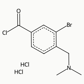 CN(C)Cc1ccc(C(=O)Cl)cc1Br.Cl.Cl